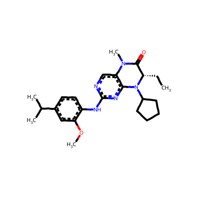 CC[C@H]1C(=O)N(C)c2cnc(Nc3ccc(C(C)C)cc3OC)nc2N1C1CCCC1